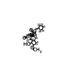 COc1ccc2c(c1O)[C@]13CCN(C(=O)OCc4ccccc4)[C@H](C2)[C@]1(O)CCC(=O)C3